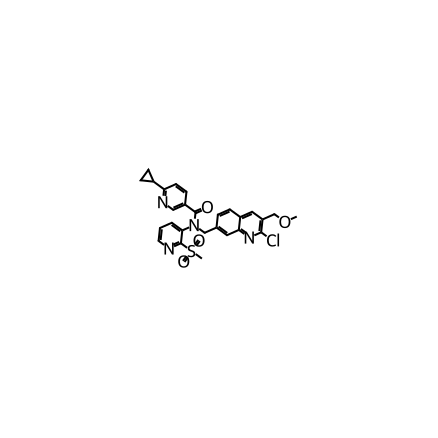 COCc1cc2ccc(CN(C(=O)c3ccc(C4CC4)nc3)c3cccnc3S(C)(=O)=O)cc2nc1Cl